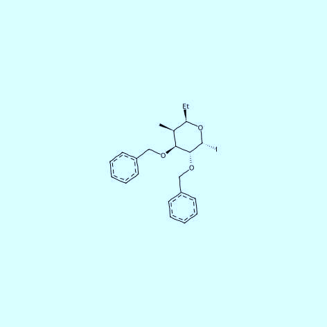 CC[C@H]1O[C@H](I)[C@H](OCc2ccccc2)[C@@H](OCc2ccccc2)[C@H]1C